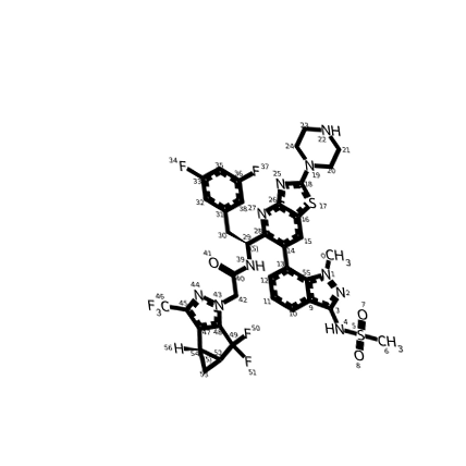 Cn1nc(NS(C)(=O)=O)c2cccc(-c3cc4sc(N5CCNCC5)nc4nc3[C@H](Cc3cc(F)cc(F)c3)NC(=O)Cn3nc(C(F)(F)F)c4c3C(F)(F)C3C[C@H]43)c21